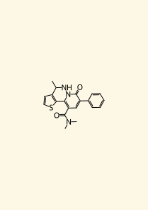 CC1Nn2c(c(C(=O)N(C)C)cc(-c3ccccc3)c2=O)-c2sccc21